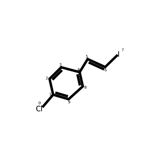 Clc1ccc(C=CI)cc1